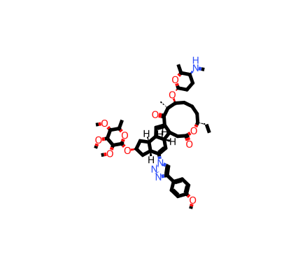 CC[C@H]1CCC[C@H](O[C@H]2CC[C@H](NC)C(C)O2)[C@@H](C)C(=O)C2=C[C@@H]3[C@@H](C=C(n4cc(-c5ccc(OC)cc5)nn4)[C@@H]4C[C@@H](OC5OC(C)C(OC)C(OC)C5OC)C[C@@H]34)[C@@H]2CC(=O)O1